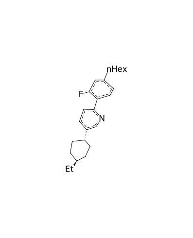 CCCCCCc1ccc(-c2ccc([C@H]3CC[C@H](CC)CC3)cn2)c(F)c1